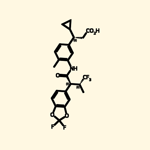 Cc1ccc([C@@H](CC(=O)O)C2CC2)cc1NC(=O)[C@H](c1ccc2c(c1)OC(F)(F)O2)[C@@H](C)C(F)(F)F